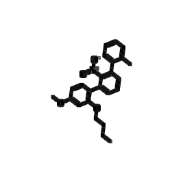 CCCCOc1cc(OC)ccc1-c1cccc(-c2ccccc2C)c1[N+](=O)[O-]